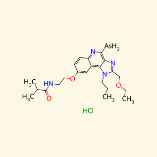 CCCn1c(COCC)nc2c([AsH2])nc3ccc(OCCNC(=O)C(C)C)cc3c21.Cl